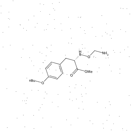 CCCCOc1ccc(C[C@H](BOCN)C(=O)OC)cc1